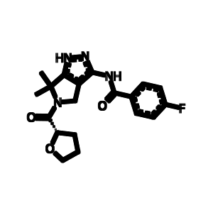 CC1(C)c2[nH]nc(NC(=O)c3ccc(F)cc3)c2CN1C(=O)[C@@H]1CCCO1